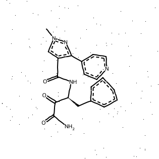 Cn1cc(C(=O)N[C@@H](Cc2ccccc2)C(=O)C(N)=O)c(-c2ccncc2)n1